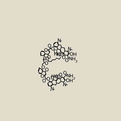 CCCCCCC(=O)OC(COc1cccc2oc(C(=O)Oc3ccc(N(C)C)c4c3C(=O)C3=C(O)C5(O)C(=O)C(C(N)=O)=C(O)C(N(C)C)C5CC3C4)cc(=O)c12)COc1cccc2oc(C(=O)Oc3ccc(N(C)C)c4c3C(=O)C3=C(O)C5(O)C(=O)C(C(N)=O)=C(O)[C@@H](N(C)C)C5CC3C4)cc(=O)c12